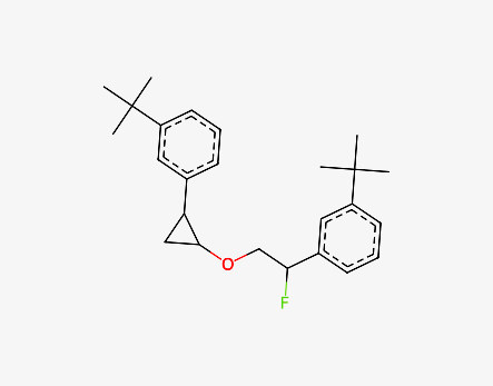 CC(C)(C)c1cccc(C(F)COC2CC2c2cccc(C(C)(C)C)c2)c1